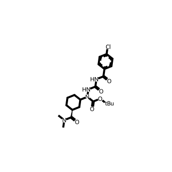 CN(C)C(=O)[C@H]1CCCC(N(NC(=O)NC(=O)c2ccc(Cl)cc2)C(=O)OC(C)(C)C)C1